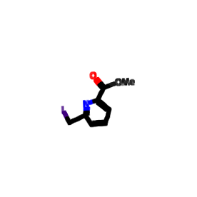 COC(=O)c1cccc(CI)n1